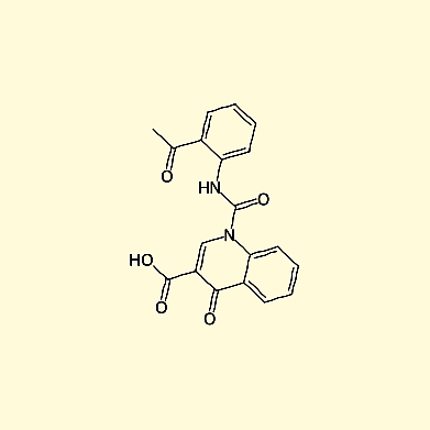 CC(=O)c1ccccc1NC(=O)n1cc(C(=O)O)c(=O)c2ccccc21